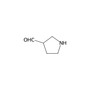 O=CC1CCNC1